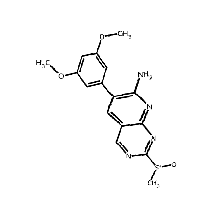 COc1cc(OC)cc(-c2cc3cnc([S+](C)[O-])nc3nc2N)c1